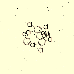 Oc1c(Cl)cc(Cl)c(Cl)c1Cc1c(O)c(Cl)cc(Cl)c1Cl.Oc1ccccc1